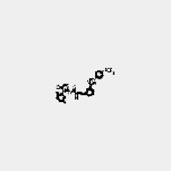 Cc1ccc(C)c(N2C(=O)CS/C2=N\C(=S)NCCc2cccc(-c3ncn(-c4ccc(OC(F)(F)F)cc4)n3)c2)c1